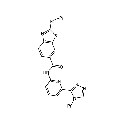 CC(C)Nc1nc2ccc(C(=O)Nc3cccc(-c4nncn4C(C)C)n3)cc2s1